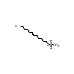 CCCCCC=CCCCCCOS(C)(=O)=O